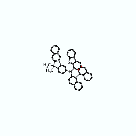 CC1(C)c2ccc(N(c3ccc4ccccc4c3-c3cccc4ccccc34)c3cccc4c3sc3ccccc34)cc2-c2cc3ccccc3cc21